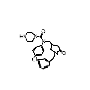 O=C1CC(CN(C(=O)N2CCNCC2)c2ccc(Cl)cc2)CN1Cc1ccccc1